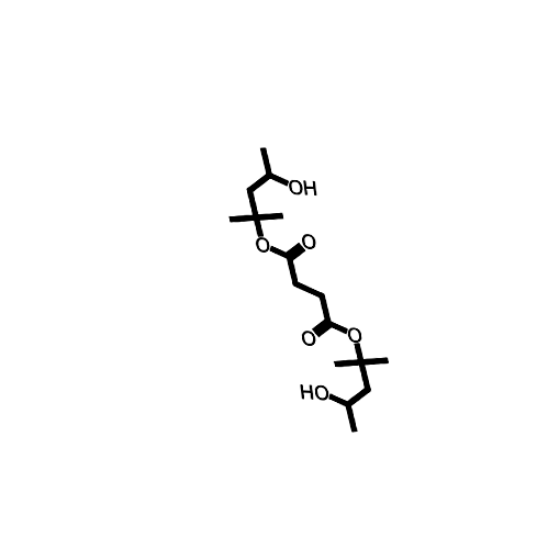 CC(O)CC(C)(C)OC(=O)CCC(=O)OC(C)(C)CC(C)O